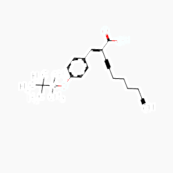 C#CCCCCC#C/C(=C\c1ccc(O[Si](C)(C)C(C)(C)C)cc1)C(=O)O